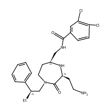 CC[C@H](CN1CC[C@@H](CNC(=O)c2ccc(Cl)c(Cl)c2)N[C@@H](CCN)C1=O)c1ccccc1